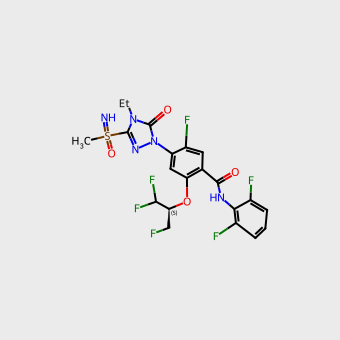 CCn1c(S(C)(=N)=O)nn(-c2cc(O[C@@H](CF)C(F)F)c(C(=O)Nc3c(F)cccc3F)cc2F)c1=O